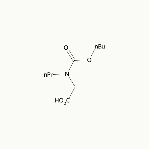 CCCCOC(=O)N(CCC)CC(=O)O